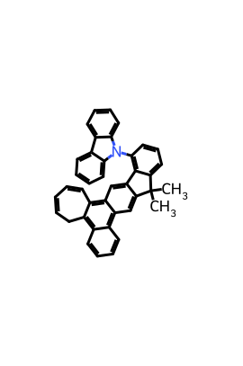 CC1(C)c2cc3c(cc2-c2c(-n4c5ccccc5c5ccccc54)cccc21)c1c(c2ccccc23)CC=CC=C1